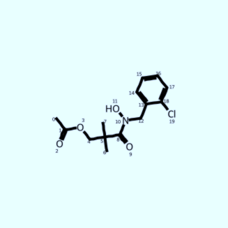 CC(=O)OCC(C)(C)C(=O)N(O)Cc1ccccc1Cl